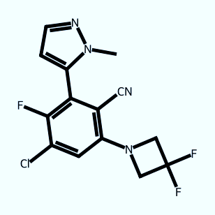 Cn1nccc1-c1c(F)c(Cl)cc(N2CC(F)(F)C2)c1C#N